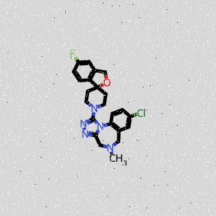 CN1Cc2cc(Cl)ccc2-n2c(nnc2N2CCC3(CC2)OCc2cc(F)ccc23)C1